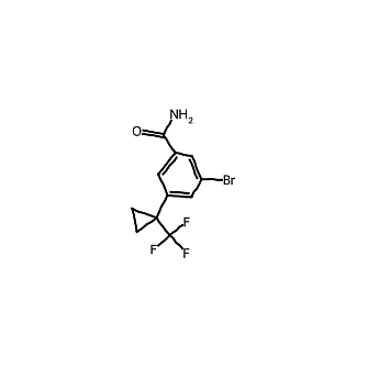 NC(=O)c1cc(Br)cc(C2(C(F)(F)F)CC2)c1